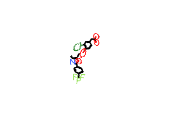 COC(=O)Cc1ccc(OCc2oc(-c3ccc(C(F)(F)F)cc3)nc2C)c(Cl)c1